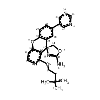 CC(C)(C)CCOc1nccc2c1[C@]1(COC(N)=N1)c1cc(-c3cncnc3)ccc1O2